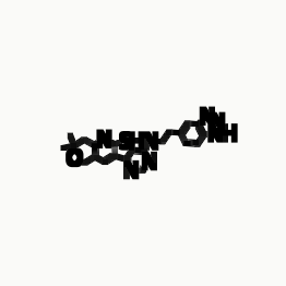 CC1(C)Cc2nc3sc4c(NCCc5ccc6[nH]nnc6c5)ncnc4c3cc2CO1